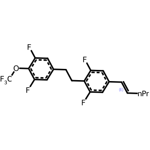 CCC/C=C/c1cc(F)c(CCc2cc(F)c(OC(F)(F)F)c(F)c2)c(F)c1